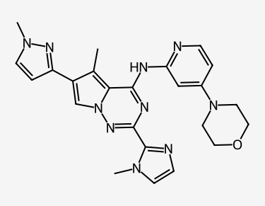 Cc1c(-c2ccn(C)n2)cn2nc(-c3nccn3C)nc(Nc3cc(N4CCOCC4)ccn3)c12